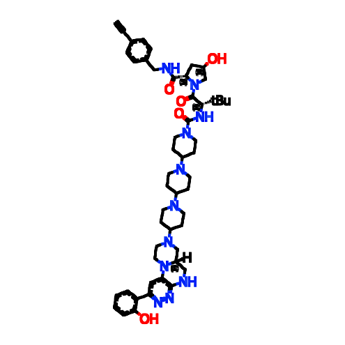 C#Cc1ccc(CNC(=O)[C@@H]2C[C@@H](O)CN2C(=O)[C@@H](NC(=O)N2CCC(N3CCC(N4CCC(N5CCN6c7cc(-c8ccccc8O)nnc7NC[C@H]6C5)CC4)CC3)CC2)C(C)(C)C)cc1